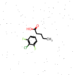 CCCCC(=O)O.Fc1cccc(F)c1Cl